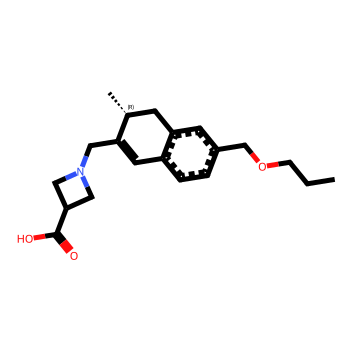 CCCOCc1ccc2c(c1)C[C@@H](C)C(CN1CC(C(=O)O)C1)=C2